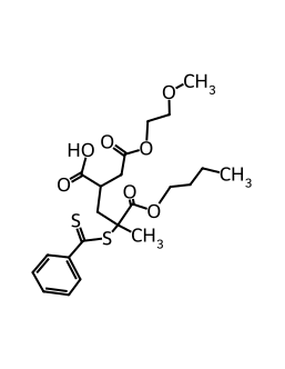 CCCCOC(=O)C(C)(CC(CC(=O)OCCOC)C(=O)O)SC(=S)c1ccccc1